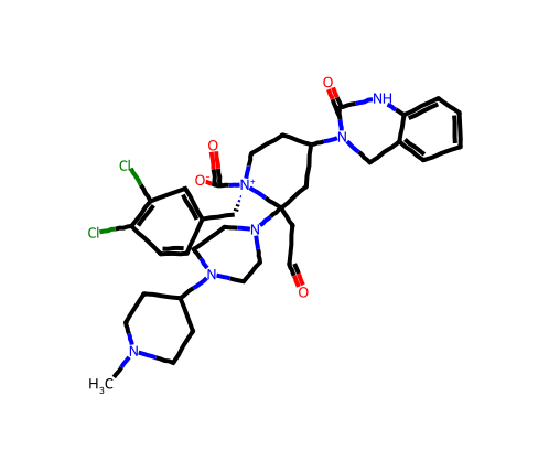 CN1CCC(N2CCN(C3(CC=O)CC(N4Cc5ccccc5NC4=O)CC[N@+]3(Cc3ccc(Cl)c(Cl)c3)C(=O)[O-])CC2)CC1